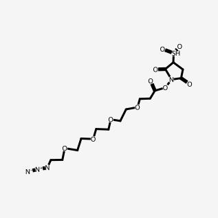 [N-]=[N+]=NCCOCCOCCOCCOCCC(=O)ON1C(=O)CC([SH](=O)=O)C1=O